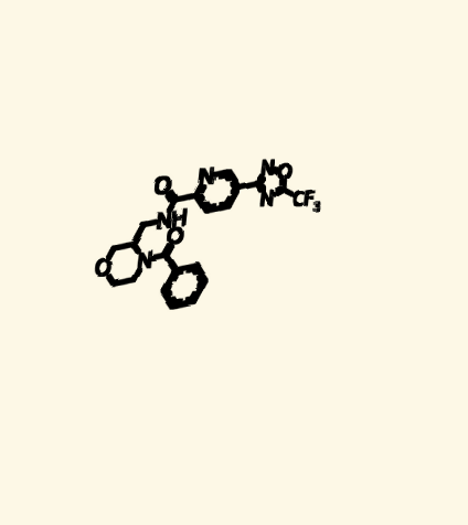 O=C(NCC1COCCN1C(=O)c1ccccc1)c1ccc(-c2noc(C(F)(F)F)n2)cn1